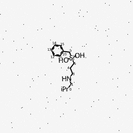 CC(C)CNCCC[Si](O)(O)Cc1ccccc1